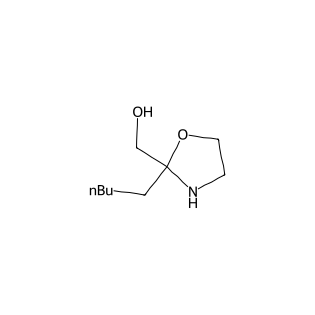 CCCCCC1(CO)NCCO1